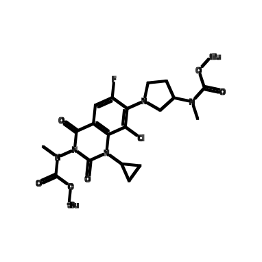 CN(C(=O)OC(C)(C)C)C1CCN(c2c(F)cc3c(=O)n(N(C)C(=O)OC(C)(C)C)c(=O)n(C4CC4)c3c2Cl)C1